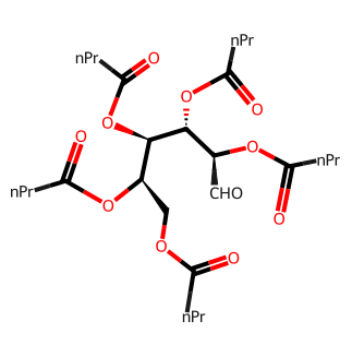 CCCC(=O)OC[C@@H](OC(=O)CCC)[C@@H](OC(=O)CCC)[C@H](OC(=O)CCC)[C@H](C=O)OC(=O)CCC